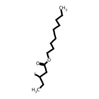 CCCCCCCCCOC(=O)CC(I)CC